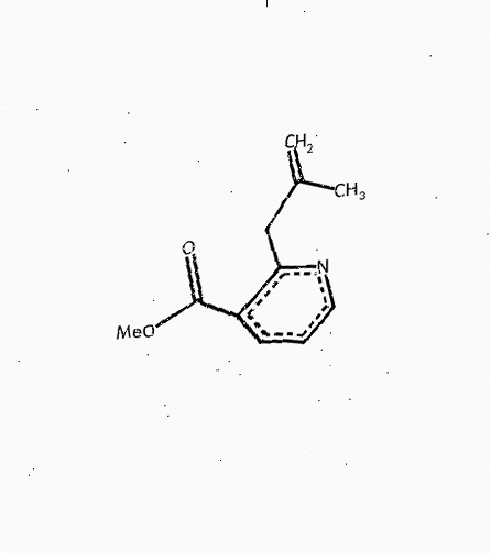 C=C(C)Cc1ncccc1C(=O)OC